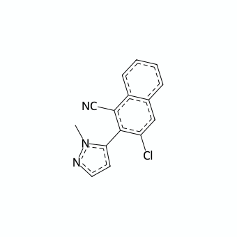 Cn1nccc1-c1c(Cl)cc2ccccc2c1C#N